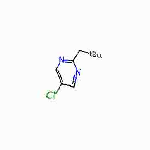 CC(C)(C)Cc1ncc(Cl)cn1